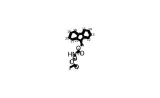 CC(=O)OONC(=O)OCC1c2ccccc2-c2ccccc21